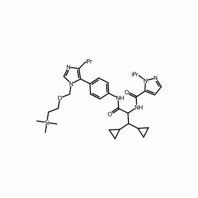 CC(C)c1ncn(COCC[Si](C)(C)C)c1-c1ccc(NC(=O)C(NC(=O)c2ccnn2C(C)C)C(C2CC2)C2CC2)cc1